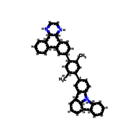 Cc1cc(-c2ccc3c(c2)c2cccc4c5ccccc5n3c42)c(C)cc1-c1ccc2c(c1)c1ccccc1c1nccnc21